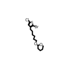 Clc1cc(CCCCCCOC2CCCCO2)c(Br)s1